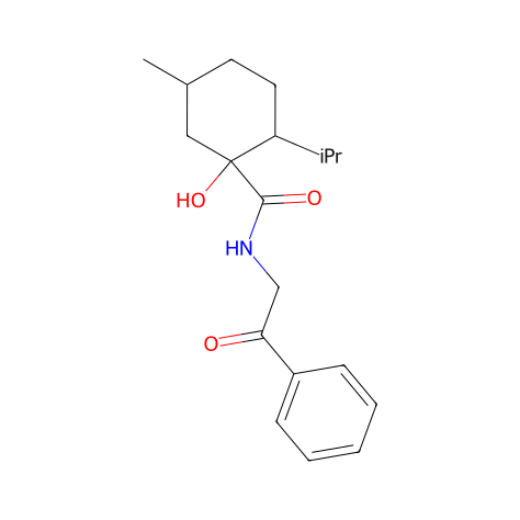 CC1CCC(C(C)C)C(O)(C(=O)NCC(=O)c2ccccc2)C1